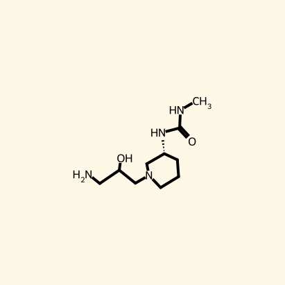 CNC(=O)N[C@@H]1CCCN(CC(O)CN)C1